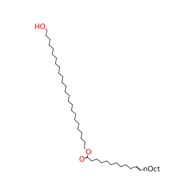 CCCCCCCCC=CCCCCCCCCCC(=O)OCCCCCCCCCCCCCCCCCCCCCCCCCCO